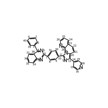 c1ccc(-c2nc(-c3ccc(-c4nc(-c5ccncc5)c5ccc6cccnc6n45)cc3)nc3ccccc23)cc1